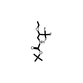 CCOC(CNC(=O)OC(C)(C)C)C(F)(F)F